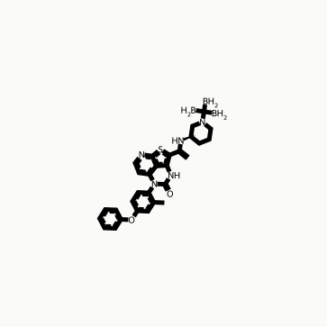 BC(B)(B)N1CCC[C@@H](NC(=C)c2sc3nccc4c3c2NC(=O)N4c2ccc(Oc3ccccc3)cc2C)C1